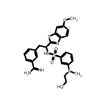 COc1ccc2nc(C(Cc3cccc(C(=N)N)c3)NS(=O)(=O)c3cccc(N(C)CCO)c3)sc2c1